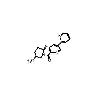 CC1CCc2nc3cc(-c4ccccn4)cnc3c(=O)n2C1